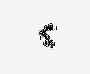 CCOC(=O)N1CCN(C(=O)C(CCC(=O)O)NC(=O)c2cc(OCC(=O)N3CCNC(=O)C3(C)C)c3ccccc3n2)CC1